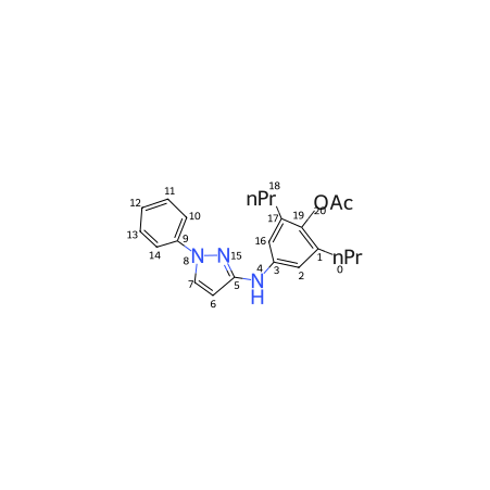 CCCc1cc(Nc2ccn(-c3ccccc3)n2)cc(CCC)c1OC(C)=O